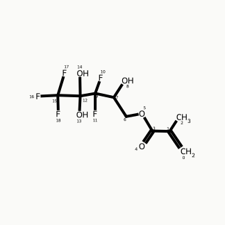 C=C(C)C(=O)OCC(O)C(F)(F)C(O)(O)C(F)(F)F